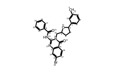 Cc1cccc(C2CCC(Cn3c(NC(=O)c4ccccc4)nc4cc(Br)ccc4c3=O)O2)c1